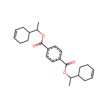 CC(OC(=O)c1ccc(C(=O)OC(C)C2CC=CCC2)cc1)C1CC=CCC1